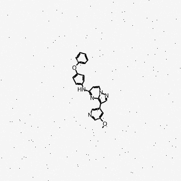 COc1cncc(-c2cnn3ccc(Nc4ccc(Oc5ccccc5)cc4)nc23)c1